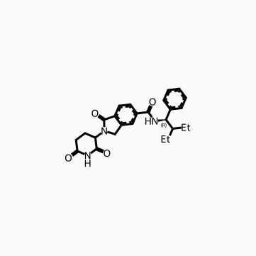 CCC(CC)[C@@H](NC(=O)c1ccc2c(c1)CN(C1CCC(=O)NC1=O)C2=O)c1ccccc1